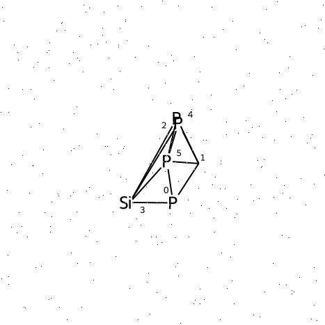 P12C34P5[Si]16P3P2546